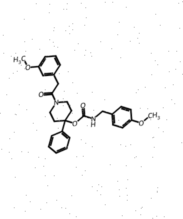 COc1ccc(CNC(=O)OC2(c3ccccc3)CCN(C(=O)Cc3cccc(OC)c3)CC2)cc1